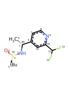 C[C@@H](N[S@+]([O-])C(C)(C)C)c1ccnc(C(F)F)c1